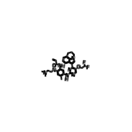 C=CC(=O)Nc1cc(Nc2ncc(OCC(F)F)c(-c3cn4c5c(cccc35)CCC4)n2)c(C)cc1N(C)CCN(C)C